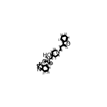 CN(CC1(O)CCN(CCc2coc3ccccc23)CC1)S(=O)(=O)c1cccc2nsnc12